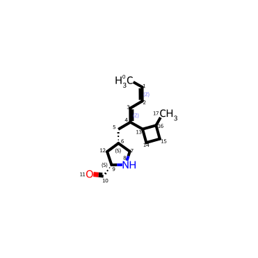 C/C=C\C=C(\C[C@@H]1CN[C@H](C=O)C1)C1CCC1C